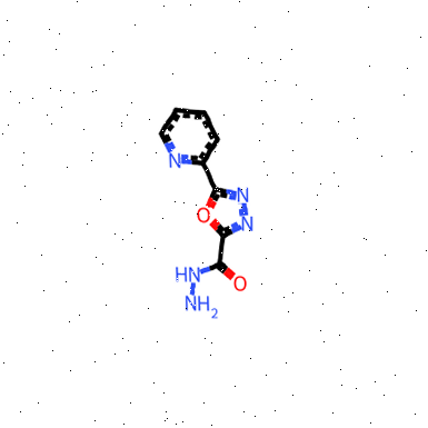 NNC(=O)c1nnc(-c2ccccn2)o1